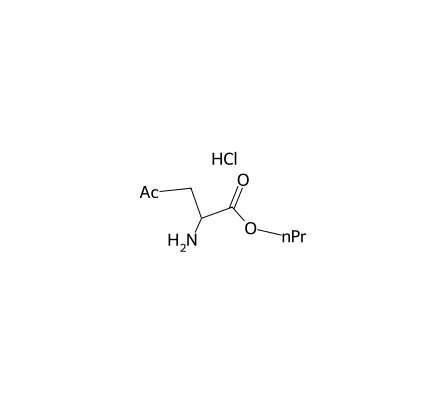 CCCOC(=O)C(N)CC(C)=O.Cl